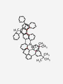 CC(C)(C)c1cc(-c2cccc3cccc(-c4ccccc4N(c4cccc(-c5cccc6c5c5ccccc5n6-c5ccccc5)c4)c4ccccc4-c4ccc5c(c4)C(C)(c4ccccc4)c4ccccc4-5)c23)cc(C(C)(C)C)c1